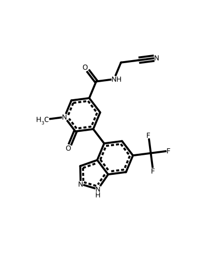 Cn1cc(C(=O)NCC#N)cc(-c2cc(C(F)(F)F)cc3[nH]ncc23)c1=O